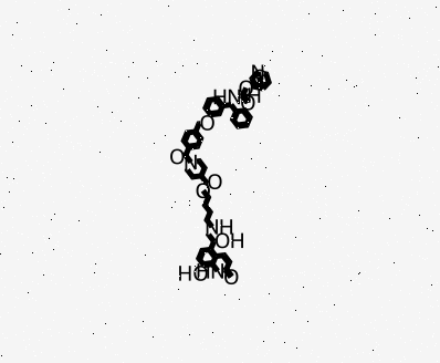 O=C(NC(c1ccccc1)c1cccc(OCc2ccc(C(=O)N3CCC(C(=O)OCCCCNCC(O)c4ccc(O)c5[nH]c(=O)ccc45)CC3)cc2)c1)O[C@H]1CN2CCC1CC2